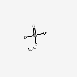 [Nb+3].[O]=[Sb]([O-])([O-])[O-]